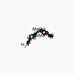 COc1cc2c(cc1OCCCOc1cc3c(cc1OC)C(=O)/C=C1/C=C(c4ccc(N)cc4)C[C@H]1/C=C/C=C/3)C=C=C[C@@H]1CC(c3ccc4c(c3)OCO4)=CC=C1CC2=O